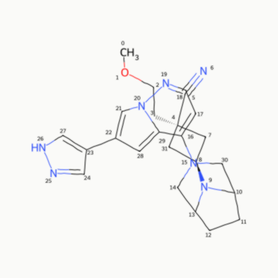 COCC[C@]1(C#N)C[C@@H](N2C3CCC2CN(c2ccnn4cc(-c5cn[nH]c5)cc24)C3)C1